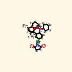 CC(C)c1cc(C(C)C)c(-c2ccccc2P(C2CCCCC2)C2CCCCC2)c(C(C)C)c1.O=C1CCC(=O)N1Br